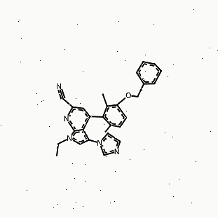 CCn1cc(-n2ccnc2)c2c(-c3c(C)ccc(OCc4ccccc4)c3C)cc(C#N)nc21